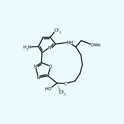 COCC1CCCCC[C@](O)(C(F)(F)F)c2nnc(o2)-c2nc(c(C(F)(F)F)cc2N)N1